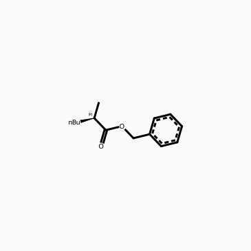 CCCC[C@@H](C)C(=O)OCc1ccccc1